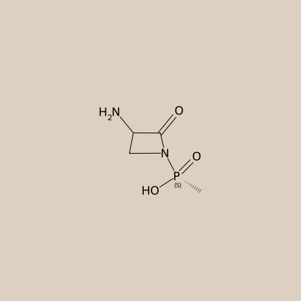 C[P@](=O)(O)N1CC(N)C1=O